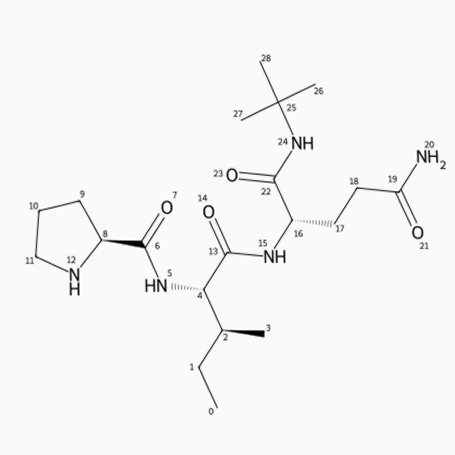 CC[C@H](C)[C@H](NC(=O)[C@@H]1CCCN1)C(=O)N[C@@H](CCC(N)=O)C(=O)NC(C)(C)C